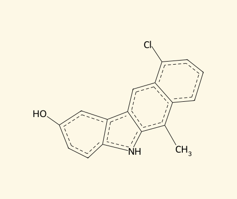 Cc1c2cccc(Cl)c2cc2c1[nH]c1ccc(O)cc12